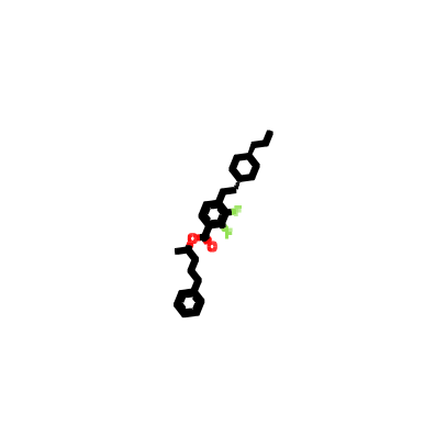 CCC[C@H]1CC[C@H](CCc2ccc(C(=O)OC(C)CCCc3ccccc3)c(F)c2F)CC1